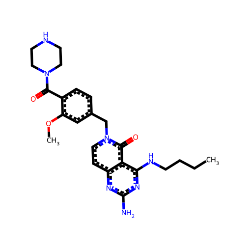 CCCCNc1nc(N)nc2ccn(Cc3ccc(C(=O)N4CCNCC4)c(OC)c3)c(=O)c12